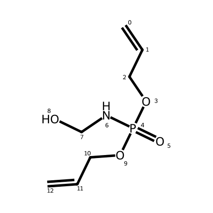 C=CCOP(=O)(NCO)OCC=C